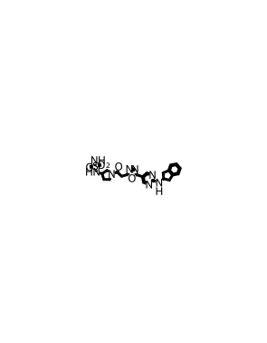 NS(=O)(=O)NC1CCN(C(=O)Cc2nnc(-c3cnc(NC4Cc5ccccc5C4)nc3)o2)C1